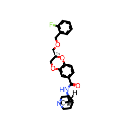 O=C(N[C@H]1CN2CCC1CC2)c1ccc2c(c1)OC[C@@H](COCc1ccccc1F)O2